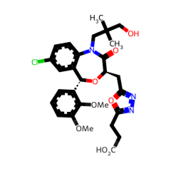 COc1cccc([C@H]2O[C@H](Cc3nnc(CCC(=O)O)o3)C(=O)N(CC(C)(C)CO)c3ccc(Cl)cc32)c1OC